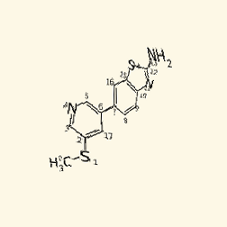 CSc1cncc(-c2ccc3nc(N)sc3c2)c1